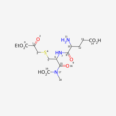 CCOC(=O)C(=O)CSCC(NC(=O)C(N)CCC(=O)O)C(=O)N(C)C(=O)O